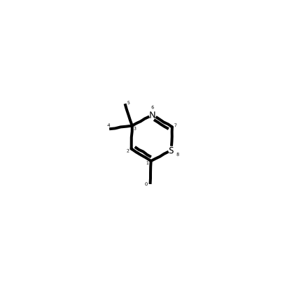 CC1=CC(C)(C)N=CS1